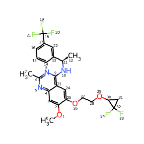 COc1cc2nc(C)nc(N[C@H](C)c3cccc(C(F)(F)F)c3)c2cc1OCCOC1CC1(F)F